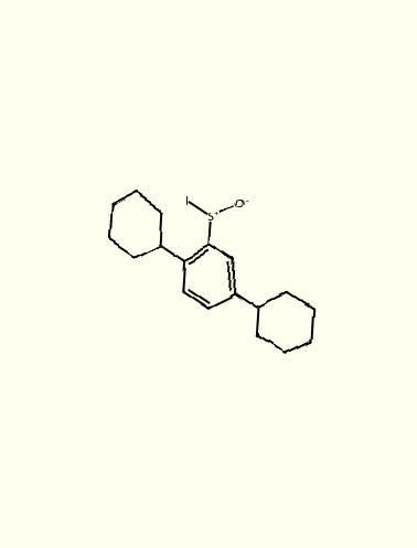 [O-][S+](I)c1cc(C2CCCCC2)ccc1C1CCCCC1